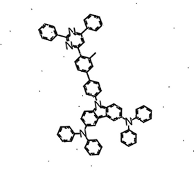 Cc1cc(-c2ccc(-n3c4ccc(N(c5ccccc5)c5ccccc5)cc4c4cc(N(c5ccccc5)c5ccccc5)ccc43)cc2)ccc1-c1cc(-c2ccccc2)nc(-c2ccccc2)n1